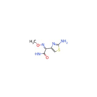 CO/N=C(\C([NH])=O)c1csc(N)n1